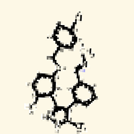 C/N=C/c1cccc(-c2c(C(F)(F)F)n[nH]c2-c2cc(OCc3ccc(Cl)cc3)ccc2O)c1